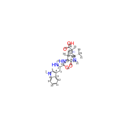 CNC(Cc1cn(C)c2ccccc12)C(=O)N[C@H](C(=O)N(C)[C@H](/C=C(\C)C(=O)O)C(C)C)C(C)(C)C